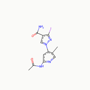 CC(=O)Nc1cc(-n2cc(C(N)=O)c(I)n2)c(C)cn1